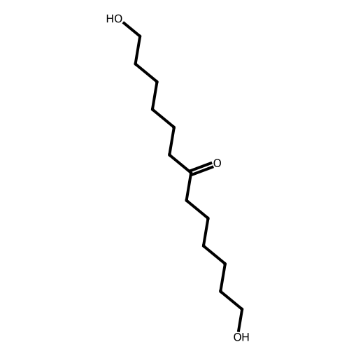 O=C(CCCCCCO)CCCCCCO